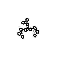 c1ccc(-c2cccc3c2oc2c(-c4ccc5c6ccc(-c7cccc8c7oc7c(-c9ccccc9)cccc78)cc6n(-c6ccc7c8ccccc8c8ccccc8c7c6)c5c4)cccc23)cc1